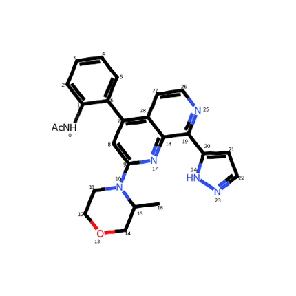 CC(=O)Nc1ccccc1-c1cc(N2CCOCC2C)nc2c(-c3ccn[nH]3)nccc12